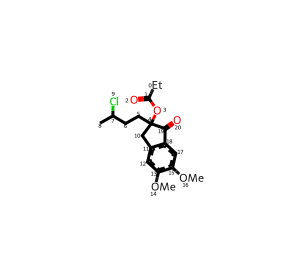 CCC(=O)OC1(CCC(C)Cl)Cc2cc(OC)c(OC)cc2C1=O